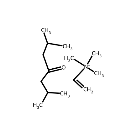 C=C[N+](C)(C)C.CC(C)CC(=O)CC(C)C